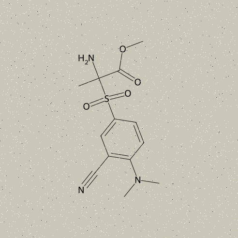 COC(=O)C(C)(N)S(=O)(=O)c1ccc(N(C)C)c(C#N)c1